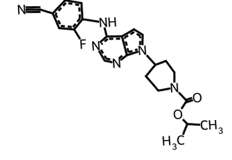 CC(C)OC(=O)N1CCC(n2ccc3c(Nc4ccc(C#N)cc4F)ncnc32)CC1